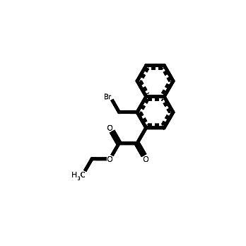 CCOC(=O)C(=O)c1ccc2ccccc2c1CBr